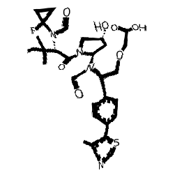 Cc1ncsc1-c1ccc(C(COCC(=O)O)N(C=O)[C@@H]2C[C@@H](O)CN2C(=O)[C@@H](N(C=O)C2(F)CC2)C(C)(C)C)cc1